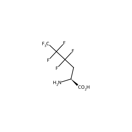 N[C@@H](CC(F)(F)C(F)(F)C(F)(F)F)C(=O)O